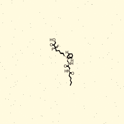 CCCCCC(=O)NCC(=O)NC[C@@H]1[C@H](CC=CCCC(F)(F)C(=O)CO)[C@@H]2CC[C@H]1O2